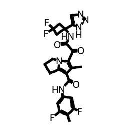 Cc1c(F)cc(NC(=O)c2c(C)c(C(=O)C(=O)NC3(c4cnn[nH]4)CC(F)(F)C3)n3c2CCC3)cc1F